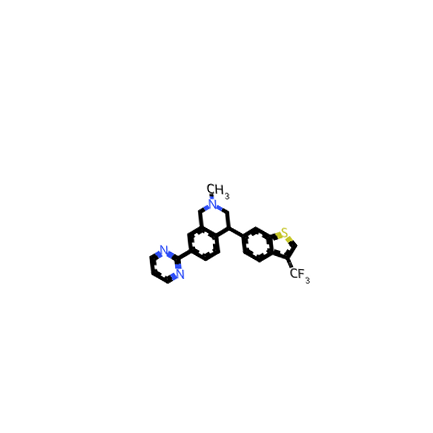 CN1Cc2cc(-c3ncccn3)ccc2C(c2ccc3c(C(F)(F)F)csc3c2)C1